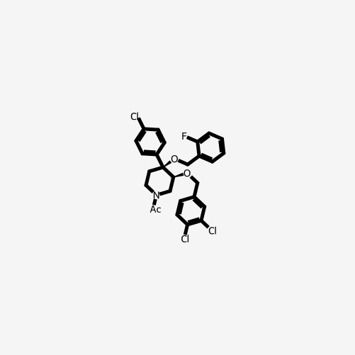 CC(=O)N1CC[C@](OCc2ccccc2F)(c2ccc(Cl)cc2)[C@@H](OCc2ccc(Cl)c(Cl)c2)C1